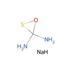 NC1(N)OS1.[NaH]